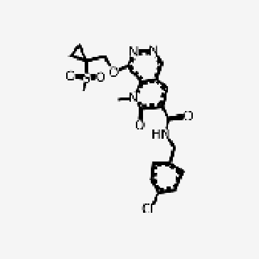 Cn1c(=O)c(C(=O)NCc2ccc(Cl)cc2)cc2cnnc(OCC3(S(C)(=O)=O)CC3)c21